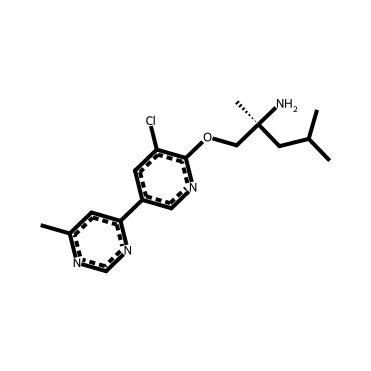 Cc1cc(-c2cnc(OC[C@@](C)(N)CC(C)C)c(Cl)c2)ncn1